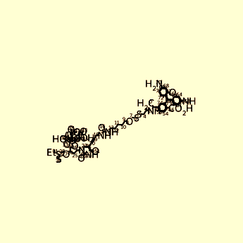 C=C(NCCSSCOCCCCCNC(=O)NCC#Cc1cn([C@H]2CC(OCS(=S)CC)[C@@H](OP(=O)(O)OP(=O)(O)OP(=O)(O)O)O2)c(=O)[nH]c1=O)c1ccc(C(=O)O)c(-c2c3ccc(=N)cc-3oc3cc(N)ccc23)c1